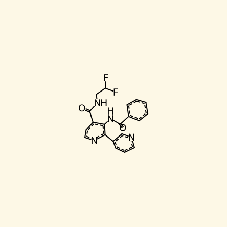 O=C(Nc1c(C(=O)NCC(F)F)ccnc1-c1cccnc1)c1ccccc1